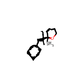 CC(C)(Cc1ccccc1)C1([SiH3])CCCCO1